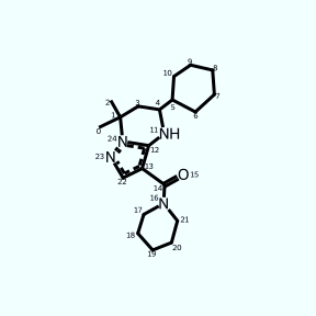 CC1(C)CC(C2CCCCC2)Nc2c(C(=O)N3CCCCC3)cnn21